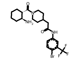 N[C@H]1CCCC[C@@H]1C(=O)N1CCC(CC(=O)Nc2ccc(Br)c(C(F)(F)F)c2)CC1